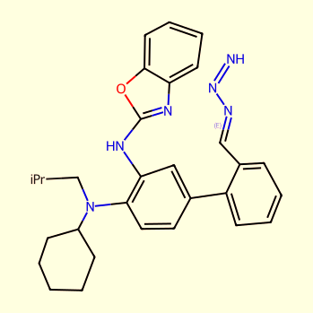 CC(C)CN(c1ccc(-c2ccccc2/C=N/N=N)cc1Nc1nc2ccccc2o1)C1CCCCC1